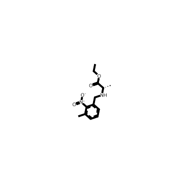 CCOC(=O)[C@H](C)NCc1cccc(C)c1[N+](=O)[O-]